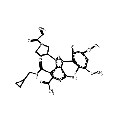 C=CC(=O)N1CCC(n2nc(-c3c(F)c(OC)cc(OC)c3F)c3c(N)nc(C(C)=O)c(C(=O)NCC4CC4)c32)C1